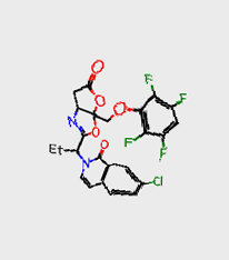 CCC(C1=NC2CC(=O)OC2(COc2c(F)c(F)cc(F)c2F)O1)n1ccc2ccc(Cl)cc2c1=O